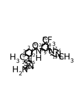 Cc1ccc(C(=O)Nc2cc(N3CCN(C)CC3)cc(C(F)(F)F)c2)cc1-c1cnc(N)s1